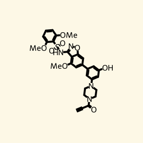 C#CC(=O)N1CCN(c2cc(O)cc(-c3cc(OC)c4c(NS(=O)(=O)c5c(OC)cccc5OC)noc4c3)c2)CC1